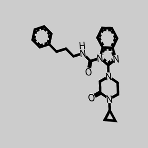 O=C1CN(c2nc3ccccc3n2C(=O)NCCCc2ccccc2)CCN1C1CC1